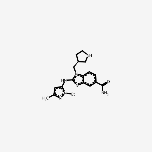 CCn1nc(C)cc1Nc1nc2cc(C(N)=O)ccc2n1C[C@H]1CCNC1